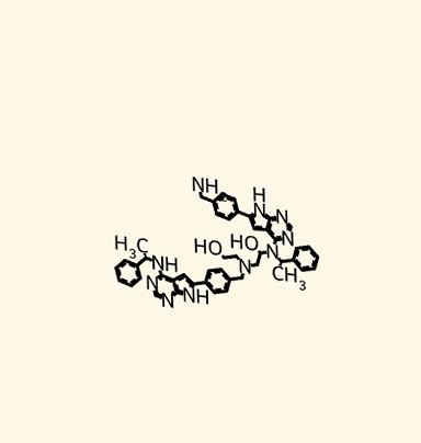 C[C@H](c1ccccc1)N(c1ncnc2[nH]c(-c3ccc(CN)cc3)cc12)C(O)CN(CCO)Cc1ccc(-c2cc3c(N[C@H](C)c4ccccc4)ncnc3[nH]2)cc1